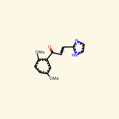 COc1ccc(OC)c(C(=O)/C=C/c2ncc[nH]2)c1